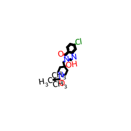 CC(C)(C)C(=O)N1CCC(O)(Cn2cnc3cc(Cl)ccc3c2=O)CC1